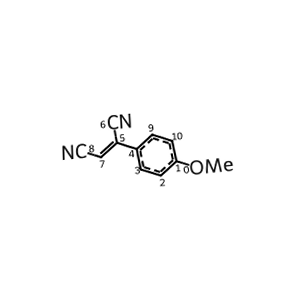 COc1ccc(C(C#N)=CC#N)cc1